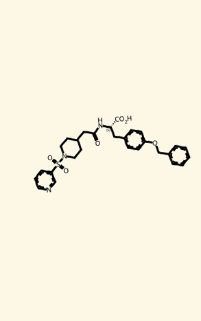 O=C(CC1CCN(S(=O)(=O)c2cccnc2)CC1)N[C@@H](Cc1ccc(OCc2ccccc2)cc1)C(=O)O